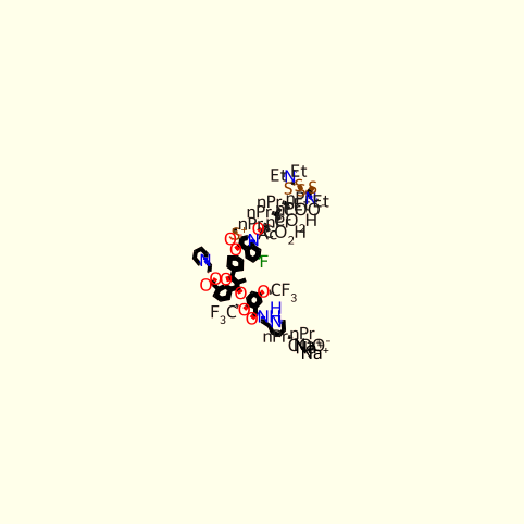 CC(=O)[O-].CCCC(CCC)C(=O)O.CCCC(CCC)C(=O)O.CCCC(CCC)C(=O)[O-].CCCC(CCC)C(=O)[O-].CCN(CC)C(=S)SSC(=S)N(CC)CC.Cc1c(-c2ccccc2)oc2c(C(=O)OCCN3CCCCC3)cccc2c1=O.Cn1cc([S+](C)[O-])c(=O)c2ccc(F)cc21.O=C(NCC1CCCCN1)c1cc(OCC(F)(F)F)ccc1OCC(F)(F)F.[Na+].[Na+].[Na+]